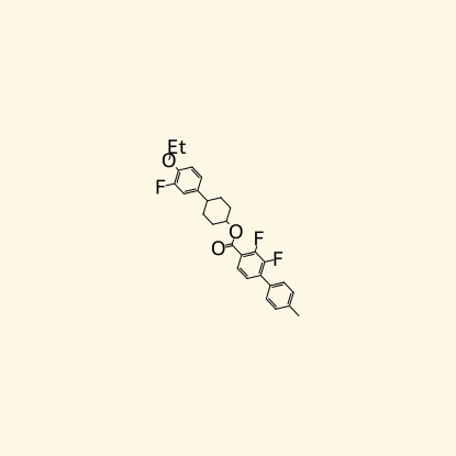 CCOc1ccc(C2CCC(OC(=O)c3ccc(-c4ccc(C)cc4)c(F)c3F)CC2)cc1F